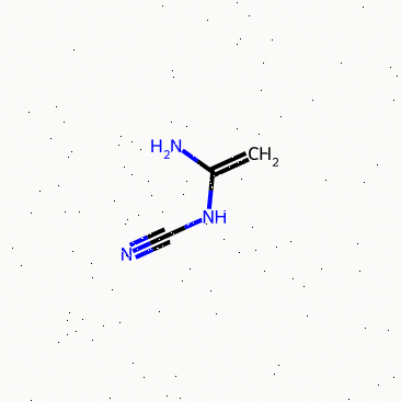 C=C(N)NC#N